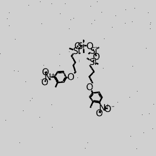 Cc1cc(OCCCC[Si](C)(C)O[Si](C)(C)O[Si](C)(C)O[Si](C)(C)CCCCOc2ccc([N+](=O)[O-])c(C)c2)ccc1[N+](=O)[O-]